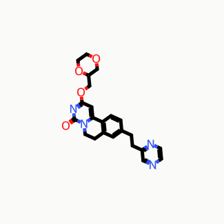 O=c1nc(OCC2COCCO2)cc2n1CCc1cc(CCc3cnccn3)ccc1-2